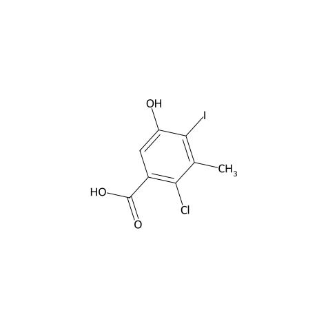 Cc1c(Cl)c(C(=O)O)cc(O)c1I